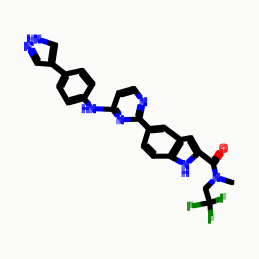 CN(CC(F)(F)F)C(=O)c1cc2cc(-c3nccc(Nc4ccc(-c5cn[nH]c5)cc4)n3)ccc2[nH]1